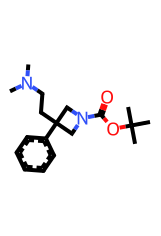 CN(C)CCC1(c2ccccc2)CN(C(=O)OC(C)(C)C)C1